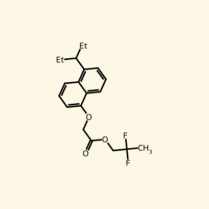 CCC(CC)c1cccc2c(OCC(=O)OCC(C)(F)F)cccc12